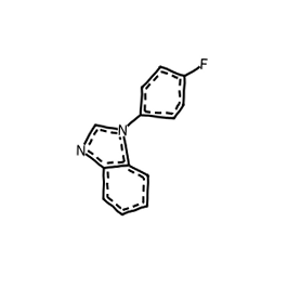 Fc1ccc(-n2cnc3ccccc32)cc1